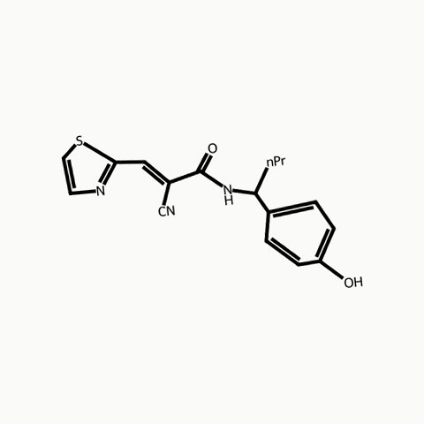 CCCC(NC(=O)/C(C#N)=C/c1nccs1)c1ccc(O)cc1